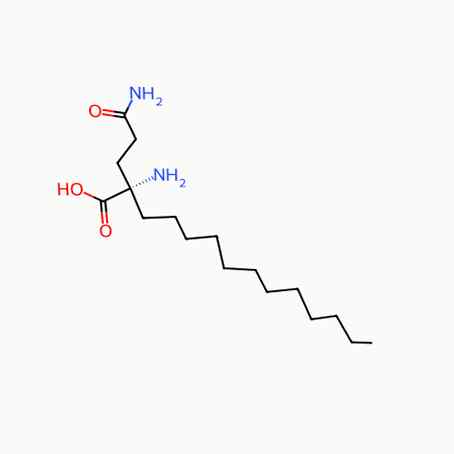 CCCCCCCCCCCC[C@](N)(CCC(N)=O)C(=O)O